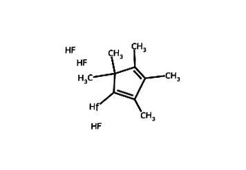 CC1=C(C)C(C)(C)[C]([Hf])=C1C.F.F.F